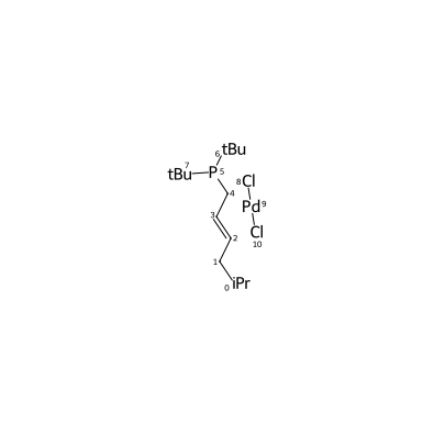 CC(C)CC=CCP(C(C)(C)C)C(C)(C)C.[Cl][Pd][Cl]